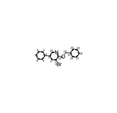 Brc1cc(-c2ccccc2)cnc1OCc1ccccc1